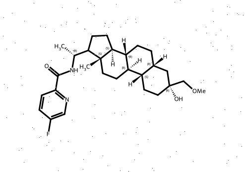 COC[C@@]1(O)CC[C@H]2[C@H](CC[C@@H]3[C@@H]2CC[C@]2(C)C([C@@H](C)NC(=O)c4ccc(F)cn4)CC[C@@H]32)C1